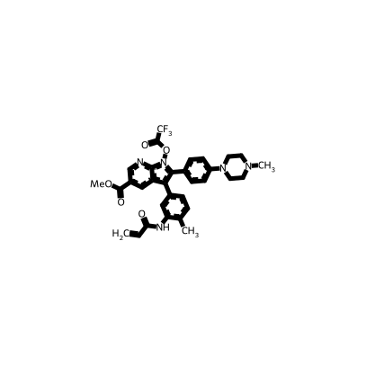 C=CC(=O)Nc1cc(-c2c(-c3ccc(N4CCN(C)CC4)cc3)n(OC(=O)C(F)(F)F)c3ncc(C(=O)OC)cc23)ccc1C